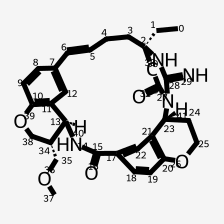 CC[C@]12CC/C=C/c3ccc4c(c3)[C@@H](NC(=O)c3ccc5c(c3)[C@@H](CCO5)N(C(=N)N1)C(=O)C2)[C@H](COC)CO4